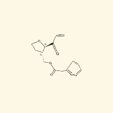 C=CC(=O)[C@@H]1OCC[C@H]1COC(=O)c1ccccc1